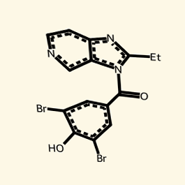 CCc1nc2ccncc2n1C(=O)c1cc(Br)c(O)c(Br)c1